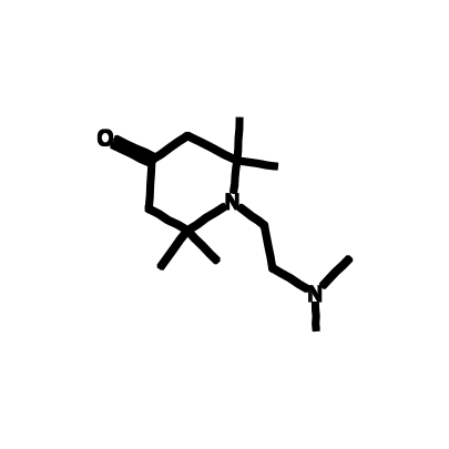 CN(C)CCN1C(C)(C)CC(=O)CC1(C)C